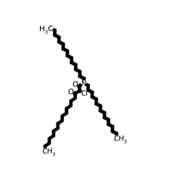 CCCCCCCCCCCCCCCCN(CCCCCCCCCCCCCCCC)C(=O)C(Cl)C(=O)CCCCCCCCCCCCCCC